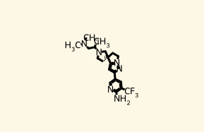 CC(CN(C)C)N1CC[C@@]2(CCn3nc(-c4cnc(N)c(C(F)(F)F)c4)cc32)C1